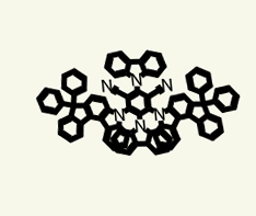 N#Cc1c(-n2c3ccccc3c3ccccc32)c(C#N)c(-n2c3ccccc3c3c4c(ccc32)C(c2ccccc2)(c2ccccc2)c2ccccc2-4)c(N2c3ccccc3C3C=CC=CC32)c1-n1c2ccccc2c2c3c(ccc21)C(C1=CC=CCC1)(c1ccccc1)c1ccccc1-3